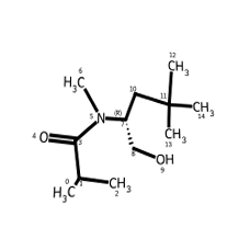 CC(C)C(=O)N(C)[C@@H](CO)CC(C)(C)C